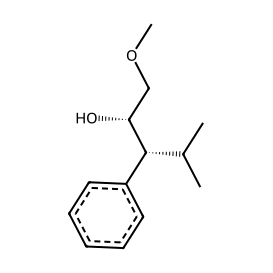 COC[C@@H](O)[C@@H](c1ccccc1)C(C)C